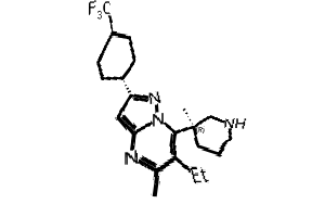 CCc1c(C)nc2cc([C@H]3CC[C@H](C(F)(F)F)CC3)nn2c1[C@]1(C)CCCNC1